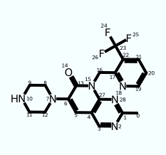 Cc1ncc2cc(N3CCNCC3)c(=O)n(Cc3ncccc3C(F)(F)F)c2n1